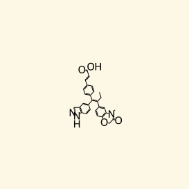 CCC(=C(c1ccc(C=CC(=O)O)cc1)c1ccc2[nH]ncc2c1)c1ccc2c(c1)N(C)C(=O)CO2